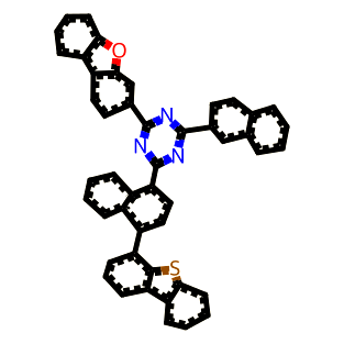 c1ccc2cc(-c3nc(-c4ccc5c(c4)oc4ccccc45)nc(-c4ccc(-c5cccc6c5sc5ccccc56)c5ccccc45)n3)ccc2c1